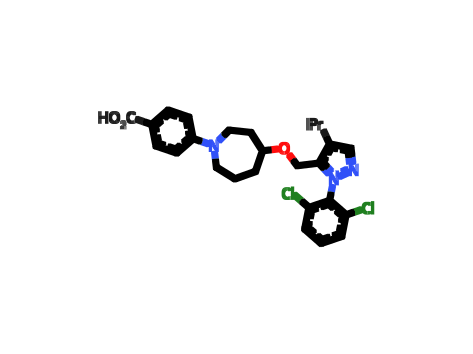 CC(C)c1cnn(-c2c(Cl)cccc2Cl)c1COC1CCCN(c2ccc(C(=O)O)cc2)CC1